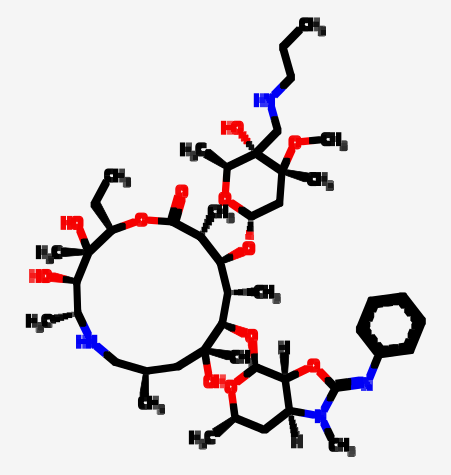 CCCNC[C@]1(O)[C@H](C)O[C@@H](O[C@H]2[C@H](C)[C@@H](O[C@@H]3O[C@H](C)C[C@H]4[C@H]3O/C(=N\c3ccccc3)N4C)[C@](C)(O)C[C@@H](C)CN[C@H](C)[C@@H](O)[C@](C)(O)[C@@H](CC)OC(=O)[C@@H]2C)C[C@@]1(C)OC